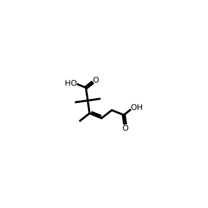 CC(=CCC(=O)O)C(C)(C)C(=O)O